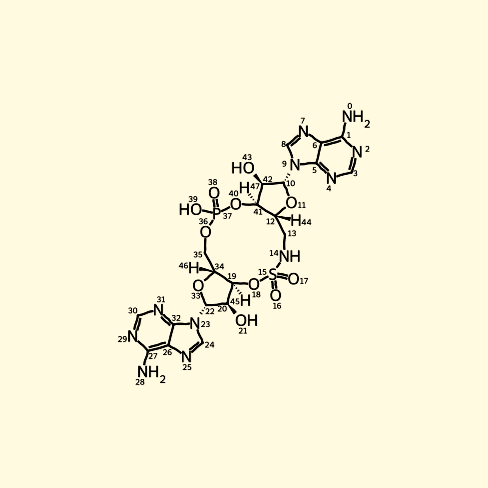 Nc1ncnc2c1ncn2[C@@H]1O[C@@H]2CNS(=O)(=O)O[C@H]3[C@@H](O)[C@H](n4cnc5c(N)ncnc54)O[C@@H]3COP(=O)(O)O[C@H]2[C@H]1O